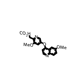 COc1ccc2nccc(Oc3cnc(CC(=O)O)c(OC)c3)c2c1